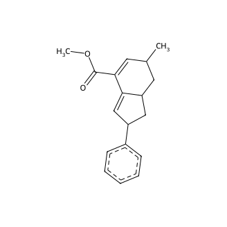 COC(=O)C1=CC(C)CC2CC(c3ccccc3)C=C12